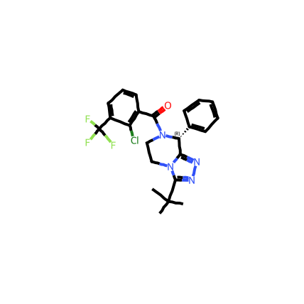 CC(C)(C)c1nnc2n1CCN(C(=O)c1cccc(C(F)(F)F)c1Cl)[C@@H]2c1ccccc1